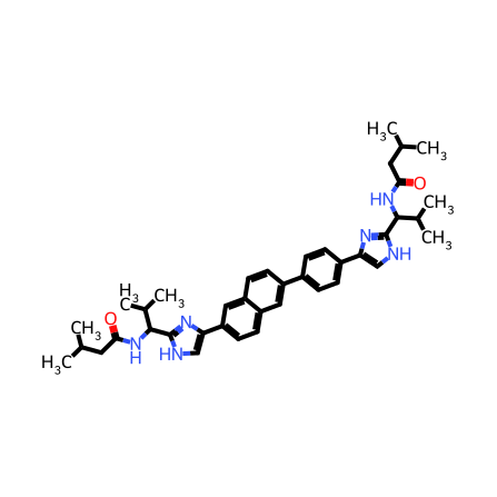 CC(C)CC(=O)NC(c1nc(-c2ccc(-c3ccc4cc(-c5c[nH]c(C(NC(=O)CC(C)C)C(C)C)n5)ccc4c3)cc2)c[nH]1)C(C)C